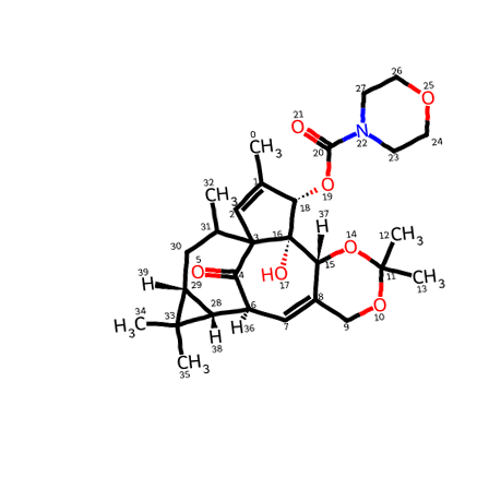 CC1=CC23C(=O)[C@@H](C=C4COC(C)(C)O[C@H]4[C@]2(O)[C@H]1OC(=O)N1CCOCC1)[C@H]1[C@@H](CC3C)C1(C)C